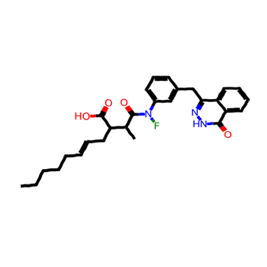 CCCCCC=CCC(C(=O)O)C(C)C(=O)N(F)c1cccc(Cc2n[nH]c(=O)c3ccccc23)c1